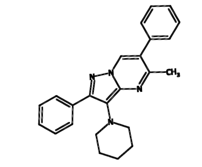 Cc1nc2c(N3CCCCC3)c(-c3ccccc3)nn2cc1-c1ccccc1